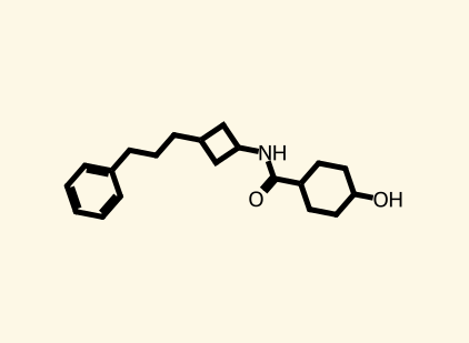 O=C(NC1CC(CCCc2ccccc2)C1)C1CCC(O)CC1